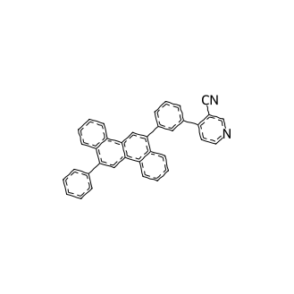 N#Cc1cnccc1-c1cccc(-c2cc3c4ccccc4c(-c4ccccc4)cc3c3ccccc23)c1